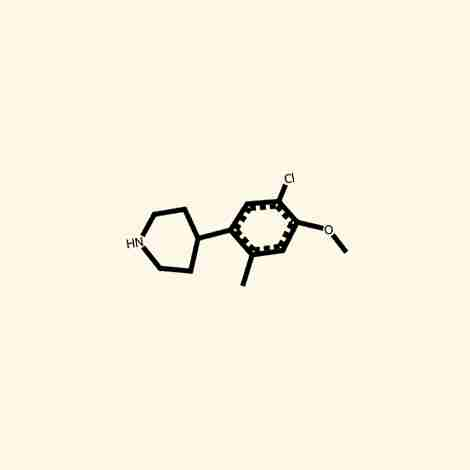 COc1cc(C)c(C2CCNCC2)cc1Cl